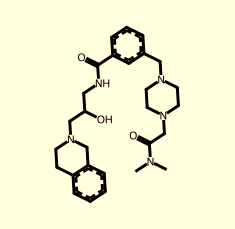 CN(C)C(=O)CN1CCN(Cc2cccc(C(=O)NCC(O)CN3CCc4ccccc4C3)c2)CC1